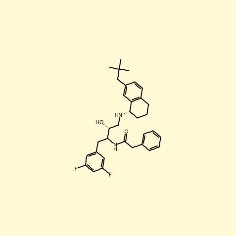 CC(C)(C)Cc1ccc2c(c1)[C@@H](NC[C@@H](O)C(Cc1cc(F)cc(F)c1)NC(=O)Cc1ccccc1)CCC2